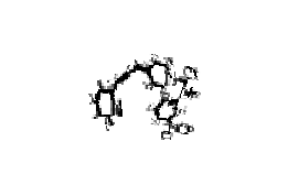 Cc1cccc(C#CC=C2CCN(C(=O)N(C)c3cccc([N+](=O)[O-])c3)CC2)n1